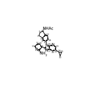 CC(=O)N[C@H]1CCc2cc(-n3c(-c4cccnc4N)nc4cc(C5CC5)cnc43)ccc21